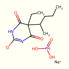 CCCC(C)C1(CC)C(=O)N=C([O-])NC1=O.O=[PH](O)O.[Na+]